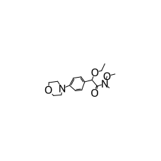 CCOC(C(=O)N(C)OC)c1ccc(N2CCOCC2)cc1